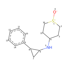 [O-][S+]1CCC(NC2CC2c2ccccc2)CC1